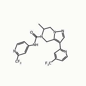 CC1Cn2ncc(-c3cc(C(F)(F)F)ccn3)c2CN1C(=O)Nc1ccnc(C(F)(F)F)c1